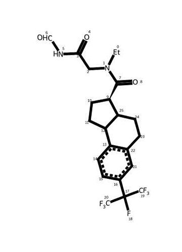 CCN(CC(=O)NC=O)C(=O)[C@@H]1CCC2c3ccc(C(F)(C(F)(F)F)C(F)(F)F)cc3CCC21